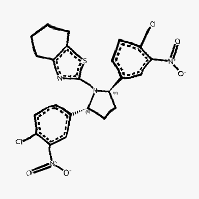 O=[N+]([O-])c1cc([C@H]2CC[C@H](c3ccc(Cl)c([N+](=O)[O-])c3)N2c2nc3c(s2)CCCC3)ccc1Cl